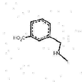 O=C(O)c1cccc(CNI)c1